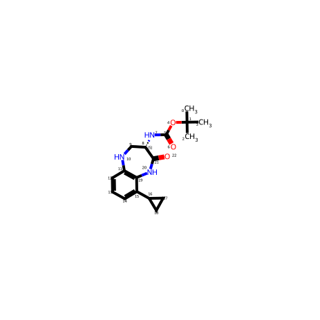 CC(C)(C)OC(=O)N[C@H]1CNc2cccc(C3CC3)c2NC1=O